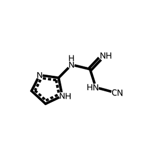 N#CNC(=N)Nc1ncc[nH]1